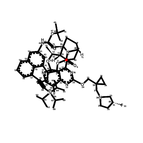 CCC(COC(=O)N1[C@@H]2CC[C@H]1[C@H]1[C@H](C)Oc3ncc(F)c4nc(OCC5(CN6CC[C@@H](F)C6)CC5)nc(c34)N1C2)c1cc(NC(=O)OC(C)(C)C)cc2cccc(C#C[Si](C(C)C)(C(C)C)C(C)C)c12